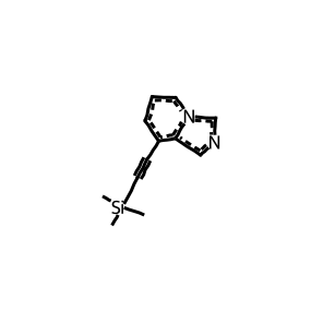 C[Si](C)(C)C#Cc1cccn2cncc12